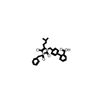 CC(C)CCc1c(Cl)n(C(=O)Cc2ccccc2)c(=O)n1Cc1ccc(-c2ccccc2C(=O)O)cc1